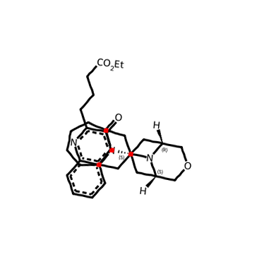 CCOC(=O)CCCc1nc2ccccc2n([C@H]2C[C@H]3COC[C@@H](C2)N3C2CC3CCCCC(C3)C2)c1=O